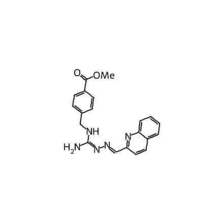 COC(=O)c1ccc(CNC(N)=NN=Cc2ccc3ccccc3n2)cc1